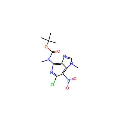 CN(C(=O)OC(C)(C)C)c1nc(Cl)c([N+](=O)[O-])c2c1ncn2C